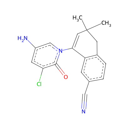 CC1(C)C=C(n2cc(N)cc(Cl)c2=O)c2cc(C#N)ccc2C1